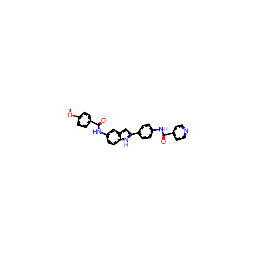 COc1ccc(C(=O)Nc2ccc3[nH]c(-c4ccc(NC(=O)c5ccncc5)cc4)cc3c2)cc1